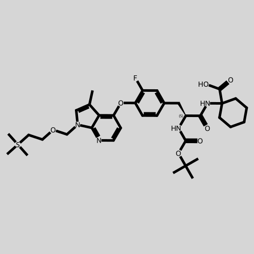 Cc1cn(COCCS(C)(C)C)c2nccc(Oc3ccc(C[C@H](NC(=O)OC(C)(C)C)C(=O)NC4(C(=O)O)CCCCC4)cc3F)c12